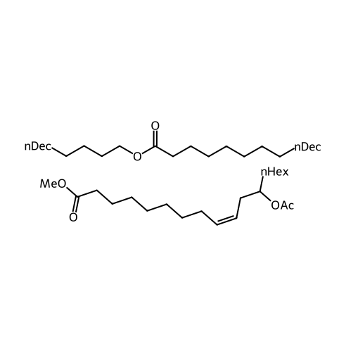 CCCCCCC(C/C=C\CCCCCCCC(=O)OC)OC(C)=O.CCCCCCCCCCCCCCCCCC(=O)OCCCCCCCCCCCCCC